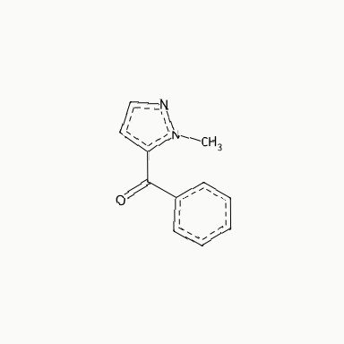 Cn1nccc1C(=O)c1ccccc1